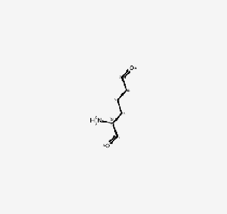 N[C@H](C=O)CCCC=O